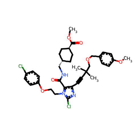 COc1ccc(COCC(C)(C)C#Cc2nc(Cl)n(CCOc3ccc(Cl)cc3)c2C(=O)NC[C@H]2CC[C@H](C(=O)OC)CC2)cc1